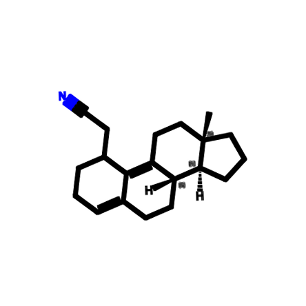 C[C@@]12CCC[C@H]1[C@@H]1CCC3=CCCC(CC#N)C3=C1CC2